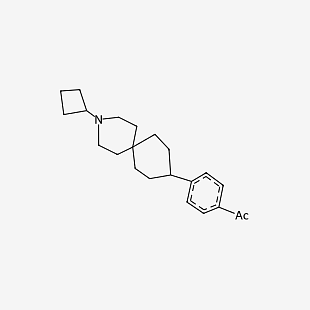 CC(=O)c1ccc(C2CCC3(CC2)CCN(C2CCC2)CC3)cc1